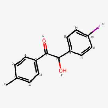 Cc1ccc(C(=O)C(O)c2ccc(I)cc2)cc1